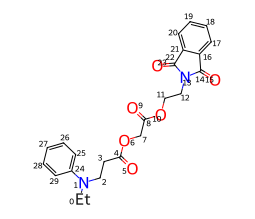 CCN(CCC(=O)OCC(=O)OCCN1C(=O)c2ccccc2C1=O)c1ccccc1